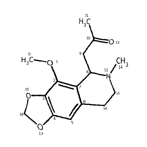 COc1c2c(cc3c1C(CC(C)=O)N(C)CC3)OCO2